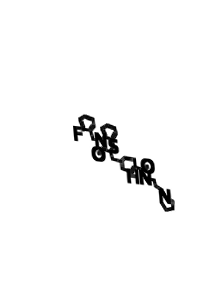 O=C(NCCCN1CCCC1)c1ccc(CC2Sc3ccccc3N(Cc3ccccc3F)C2=O)cc1